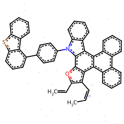 C=Cc1oc2c(c1/C=C\C)c1c3ccccc3c3ccccc3c1c1c3ccccc3n(-c3ccc(-c4cccc5sc6ccccc6c45)cc3)c21